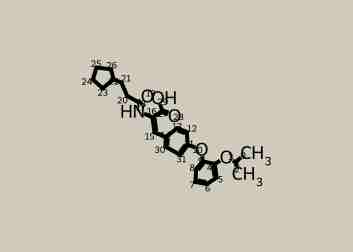 CC(C)Oc1ccccc1Oc1ccc(/C=C(/NC(=O)CCC2CCCC2)C(=O)O)cc1